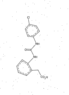 O=C(O)Cc1ccccc1NC(=O)Nc1ccc(Cl)cc1